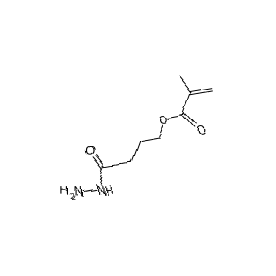 C=C(C)C(=O)OCCCC(=O)NN